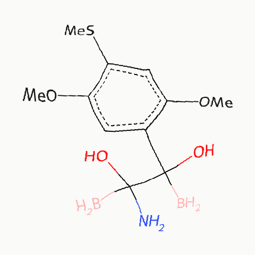 BC(N)(O)C(B)(O)c1cc(OC)c(SC)cc1OC